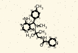 Cc1ccc(C2c3c(N)ncnc3N(C(C)(C)CNC(=O)c3ccncc3)N2C)cc1